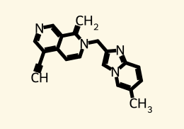 C#Cc1cncc2c1C=CN(Cc1cn3cc(C)ccc3n1)C2=C